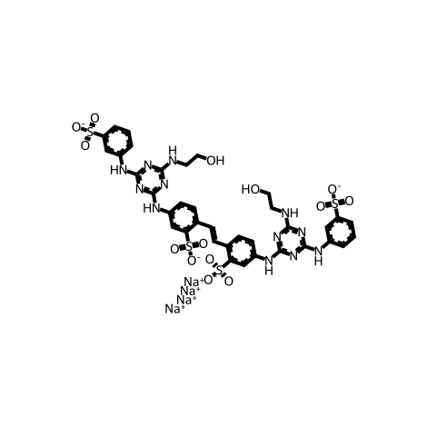 O=S(=O)([O-])c1cccc(Nc2nc(NCCO)nc(Nc3ccc(C=Cc4ccc(Nc5nc(NCCO)nc(Nc6cccc(S(=O)(=O)[O-])c6)n5)cc4S(=O)(=O)[O-])c(S(=O)(=O)[O-])c3)n2)c1.[Na+].[Na+].[Na+].[Na+]